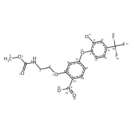 COC(=O)NCCOc1cc(Oc2ccc(C(F)(F)F)cc2Cl)ccc1[N+](=O)[O-]